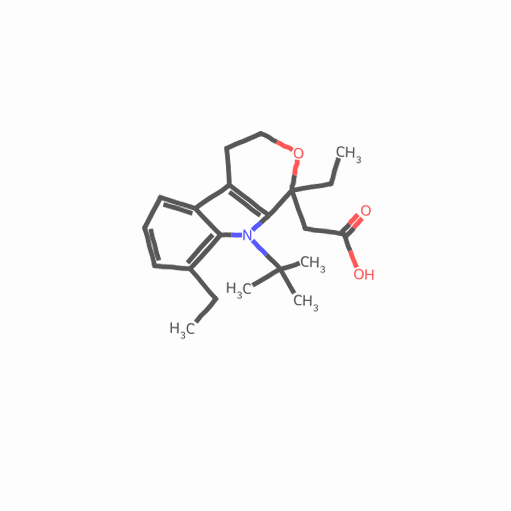 CCc1cccc2c3c(n(C(C)(C)C)c12)C(CC)(CC(=O)O)OCC3